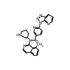 Cc1cccc2ccnc(N(C(=O)c3ccc(-n4nnc5cccnc54)nc3)[C@@H]3CCCNC3)c12